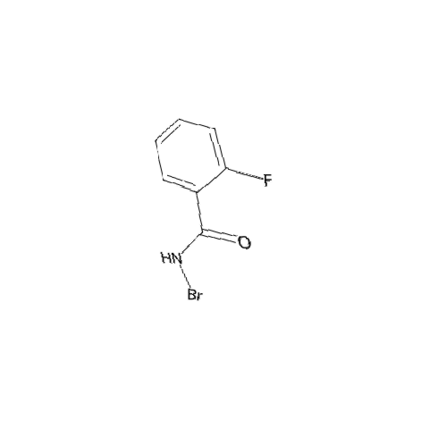 O=C(NBr)c1ccccc1F